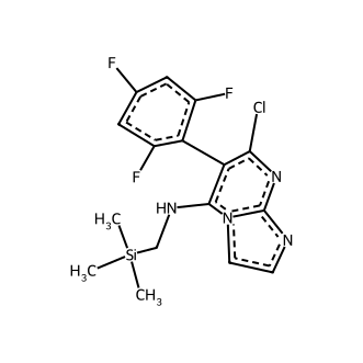 C[Si](C)(C)CNc1c(-c2c(F)cc(F)cc2F)c(Cl)nc2nccn12